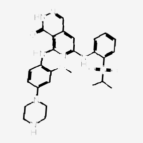 COc1cc(N2CCNCC2)ccc1Nc1nc(Nc2ccccc2S(=O)(=O)C(C)C)cc2cn[nH]c(=O)c12